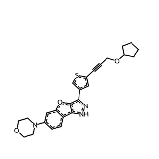 C(#Cc1cc(-c2n[nH]c3c2oc2cc(N4CCOCC4)ccc23)cs1)COC1CCCC1